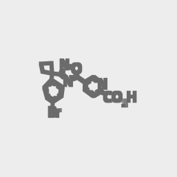 O=C(O)c1ccc(-c2nc(C3(c4ccc(Br)cc4)CCC3)no2)cn1